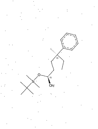 CC[C@@](C)(CC[C@@H](O)O[Si](C)(C)C(C)(C)C)c1ccccc1